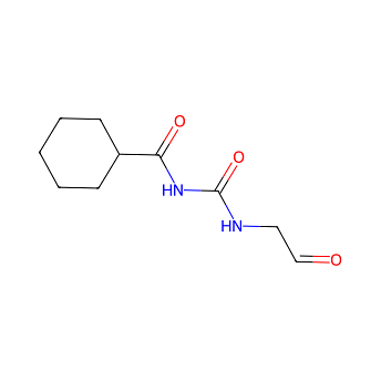 O=CCNC(=O)NC(=O)C1CCCCC1